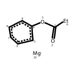 CCC(=O)Oc1ccccc1.[Mg]